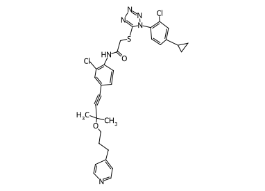 CC(C)(C#Cc1ccc(NC(=O)CSc2nnnn2-c2ccc(C3CC3)cc2Cl)c(Cl)c1)OCCCc1ccncc1